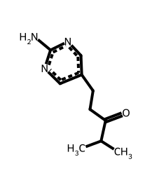 CC(C)C(=O)CCc1cnc(N)nc1